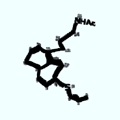 C/C=C\Sc1ccc2cccc(CCCNC(C)=O)c2c1